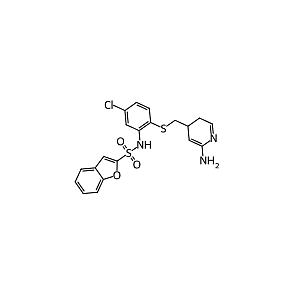 NC1=CC(CSc2ccc(Cl)cc2NS(=O)(=O)c2cc3ccccc3o2)CC=N1